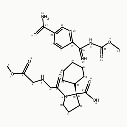 COC(=O)CNCC(=O)N1CCC[C@]1(C(=O)O)C1CCCCC1.COC(=O)NC(=N)c1ccc(C(N)=O)cn1